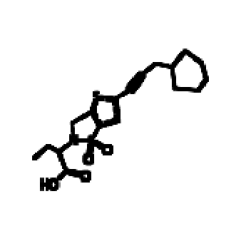 CCC(C(=O)O)N1Cc2sc(C#CCC3CCCCC3)cc2S1(=O)=O